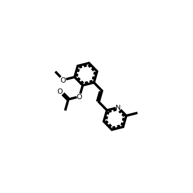 COc1cccc(C=Cc2cccc(C)n2)c1OC(C)=O